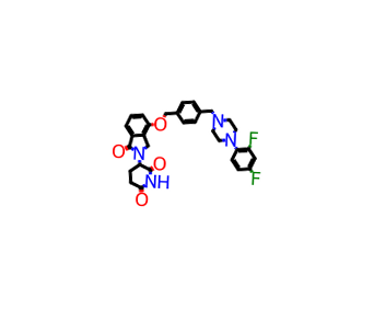 O=C1CCC(N2Cc3c(OCc4ccc(CN5CCN(c6ccc(F)cc6F)CC5)cc4)cccc3C2=O)C(=O)N1